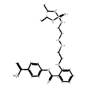 C=C(N)c1ccc(OC(=O)c2ccccc2OCCSSCCOP(=O)(OCC)OCC)cc1